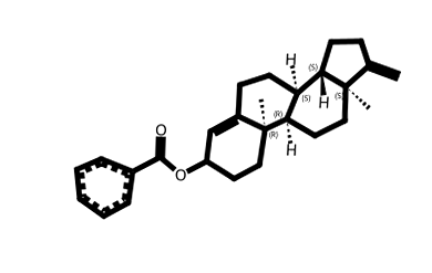 C=C1CC[C@H]2[C@@H]3CCC4=CC(OC(=O)c5ccccc5)CC[C@]4(C)[C@@H]3CC[C@]12C